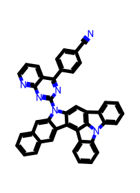 N#Cc1ccc(-c2nc(-n3c4cc5ccccc5cc4c4c5c6ccccc6n6c7ccccc7c(cc43)c56)nc3ncccc23)cc1